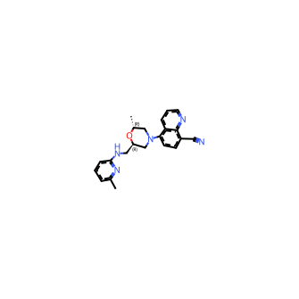 Cc1cccc(NC[C@@H]2CN(c3ccc(C#N)c4ncccc34)C[C@@H](C)O2)n1